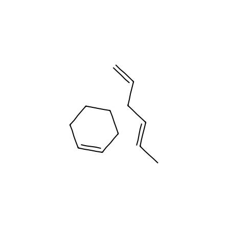 C1=CCCCC1.C=CCC=CC